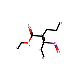 CCCC(C(=O)OCC)=C(CC)P=O